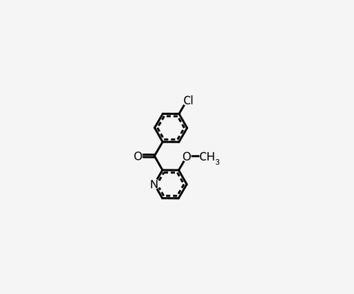 COc1cccnc1C(=O)c1ccc(Cl)cc1